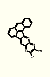 [C-]#[N+]c1nc2nc3c(nc2nc1C#N)-c1c2ccccc2cc2cccc-3c12